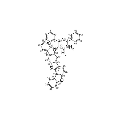 NC(/N=C(/c1ccccc1)[C@H](N)n1c2ccccc2c2cc3sc4c(ccc5oc6ccccc6c54)c3cc21)c1ccccc1